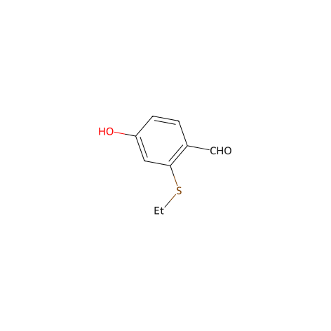 CCSc1cc(O)ccc1C=O